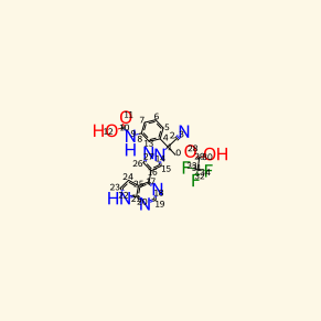 CC(C#N)(c1cccc(NC(=O)O)c1)n1cc(-c2ncnc3[nH]ccc23)cn1.O=C(O)C(F)(F)F